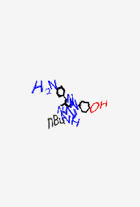 CCCCNc1ncc2c(-c3ccc(N)cc3)nn([C@H]3CC[C@@H](O)CC3)c2n1